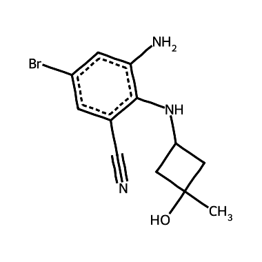 CC1(O)CC(Nc2c(N)cc(Br)cc2C#N)C1